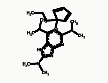 CCCC1([n+]2c(N(C)C)nc3nc(N(C)C)[nH]c3c2N(C)C)C=CC=C1